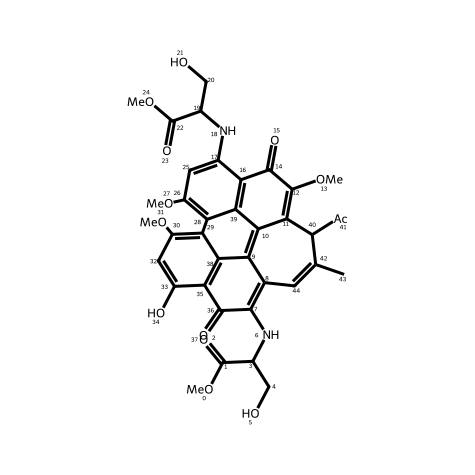 COC(=O)C(CO)Nc1c2c3c4c(c(OC)c(=O)c5c(NC(CO)C(=O)OC)cc(OC)c(c6c(OC)cc(O)c(c1=O)c63)c54)C(C(C)=O)C(C)=C2